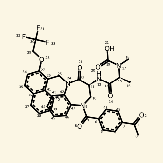 CC(=O)c1ccc(C(=O)N2C[C@H](NC(=O)[C@H](C)N(C)C(=O)O)C(=O)N(Cc3c(OCC(F)(F)F)ccc4ccccc34)c3ccccc32)cc1